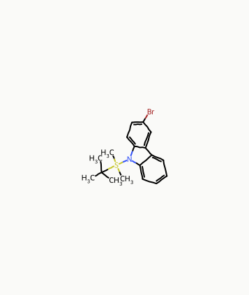 CC(C)(C)S(C)(C)n1c2ccccc2c2cc(Br)ccc21